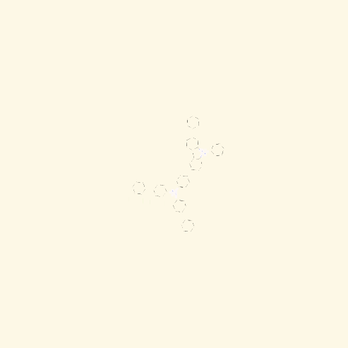 Fc1c(F)c(F)c(-c2c(F)c(F)c(N(c3ccc(-c4ccccc4)cc3)c3ccc(-c4ccc5c(c4)c4ccc(-c6ccccc6)cc4n5-c4ccccc4)cc3)c(F)c2F)c(F)c1F